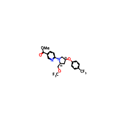 COC(=O)c1ccc(N2C[C@@H](Oc3ccc(C(F)(F)F)cc3)C[C@H]2COC(F)(F)F)nc1